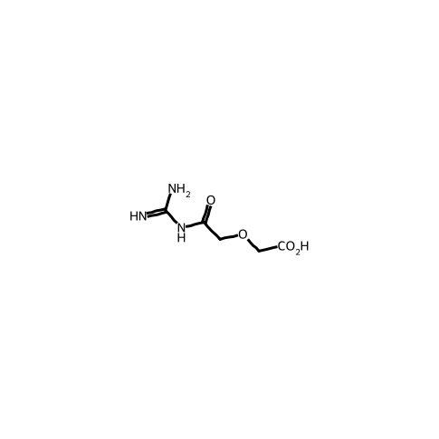 N=C(N)NC(=O)COCC(=O)O